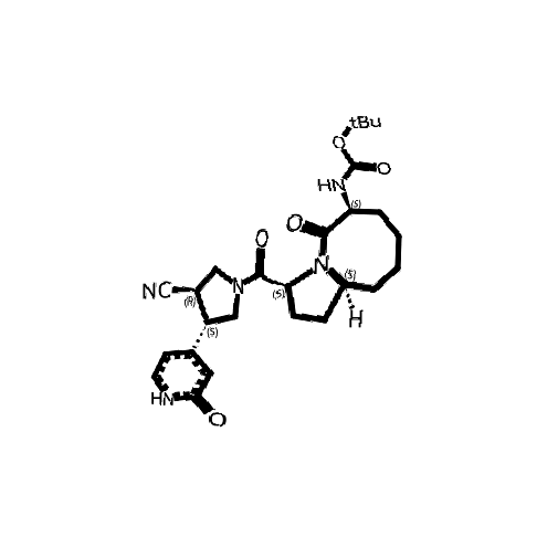 CC(C)(C)OC(=O)N[C@H]1CCCC[C@H]2CC[C@@H](C(=O)N3C[C@H](c4cc[nH]c(=O)c4)[C@@H](C#N)C3)N2C1=O